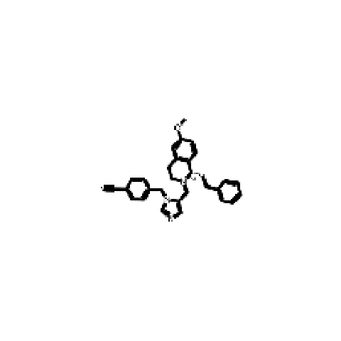 COc1ccc2c(c1)CCN(Cc1cncn1Cc1ccc(C#N)cc1)[C@H]2CCc1ccccc1